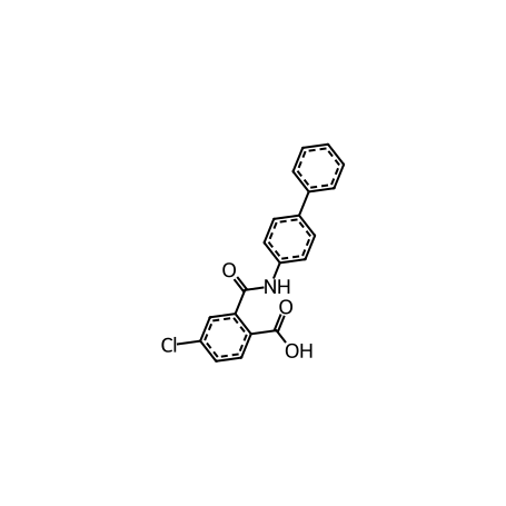 O=C(O)c1ccc(Cl)cc1C(=O)Nc1ccc(-c2ccccc2)cc1